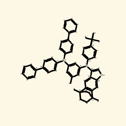 Cc1cc(N(c2ccc(-c3ccccc3)cc2)c2ccc(-c3ccccc3)cc2)cc(N(c2ccc(C(C)(C)C)cc2)c2coc3cc4c(cc23)C2(C)CCC4(C)CC2)c1